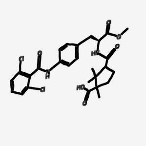 COC(=O)[C@H](Cc1ccc(NC(=O)c2c(Cl)cccc2Cl)cc1)NC(=O)C1CCC(C)(C(=O)O)C1(C)C